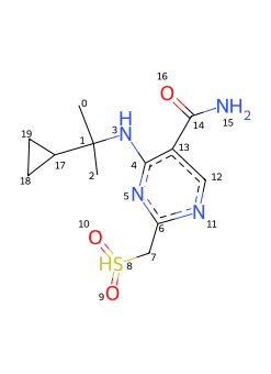 CC(C)(Nc1nc(C[SH](=O)=O)ncc1C(N)=O)C1CC1